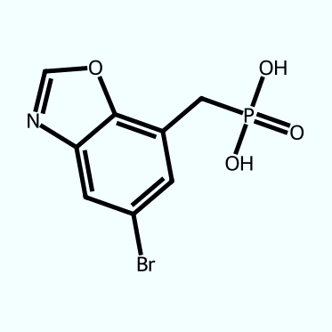 O=P(O)(O)Cc1cc(Br)cc2ncoc12